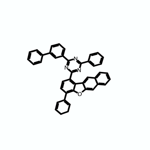 C1=CC(c2ccc(-c3nc(-c4ccccc4)nc(-c4cccc(-c5ccccc5)c4)n3)c3c2oc2cc4ccccc4cc23)=CCC1